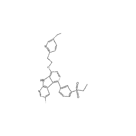 CCc1ccc(CCOc2ccc(-c3cccc(S(=O)(=O)CC)c3)c3c2[nH]c2ncc(C)cc23)nc1